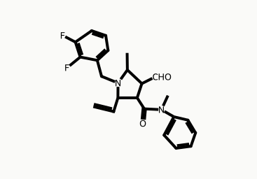 C=CC1C(C(=O)N(C)c2ccccc2)C(C=O)C(C)N1Cc1cccc(F)c1F